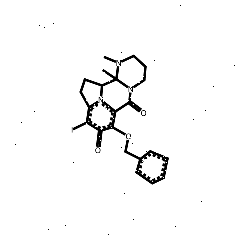 CN1CCCN2C(=O)c3c(OCc4ccccc4)c(=O)c(I)c4n3C(CC4)C12C